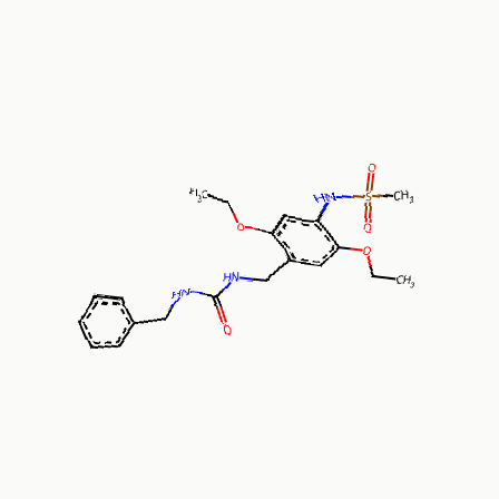 CCOc1cc(NS(C)(=O)=O)c(OCC)cc1CNC(=O)NCc1ccccc1